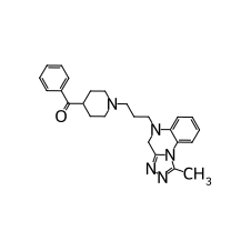 Cc1nnc2n1-c1ccccc1N(CCCN1CCC(C(=O)c3ccccc3)CC1)C2